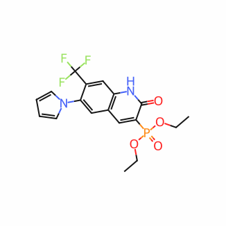 CCOP(=O)(OCC)c1cc2cc(-n3cccc3)c(C(F)(F)F)cc2[nH]c1=O